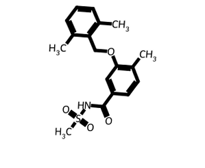 Cc1ccc(C(=O)NS(C)(=O)=O)cc1OCc1c(C)cccc1C